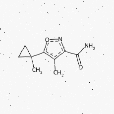 Cc1c(C(N)=O)noc1C1(C)CC1